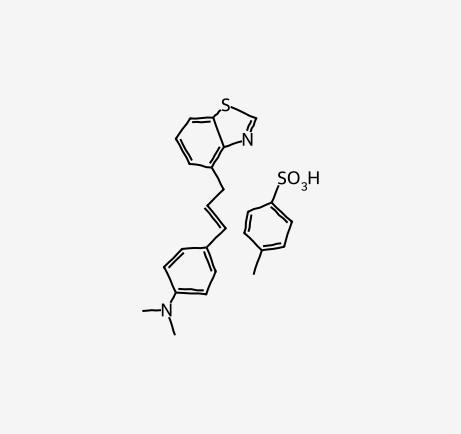 CN(C)c1ccc(C=CCc2cccc3scnc23)cc1.Cc1ccc(S(=O)(=O)O)cc1